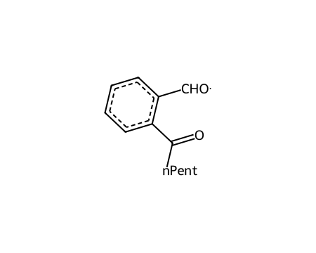 CCCCCC(=O)c1ccccc1[C]=O